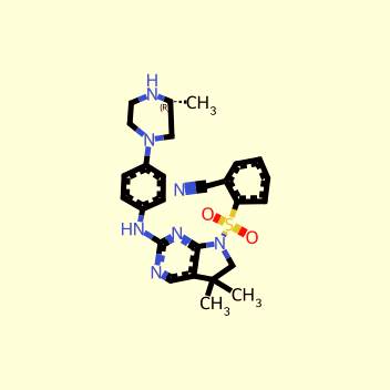 C[C@@H]1CN(c2ccc(Nc3ncc4c(n3)N(S(=O)(=O)c3ccccc3C#N)CC4(C)C)cc2)CCN1